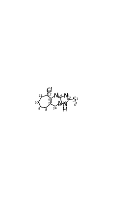 CSC1=NC2=NC3=C(CCCCC3Cl)CN2N1